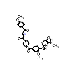 CNc1nc(Nc2ccc(C(=O)N3CCN(C(=O)/C=C/C(=O)c4ccc(OC)cc4)CC3)cc2OC)ncc1Cl